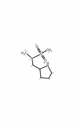 CN(CC1CCCN1)S(C)(=O)=O